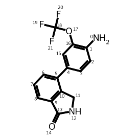 Nc1ccc(-c2cccc3c2CNC3=O)cc1OC(F)(F)F